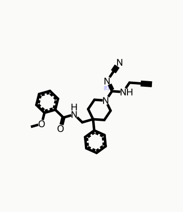 C#CCN/C(=N\C#N)N1CCC(CNC(=O)c2ccccc2OC)(c2ccccc2)CC1